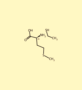 CCS.CSCC[C@H](N)C(=O)O